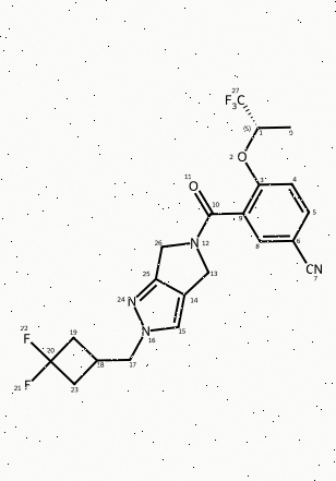 C[C@H](Oc1ccc(C#N)cc1C(=O)N1Cc2cn(CC3CC(F)(F)C3)nc2C1)C(F)(F)F